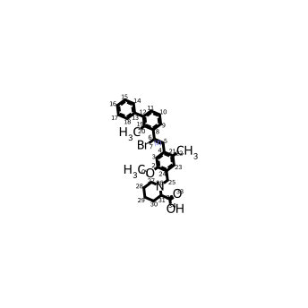 COc1cc(/C=C(\Br)c2cccc(-c3ccccc3)c2C)c(C)cc1CN1CCCCC1C(=O)O